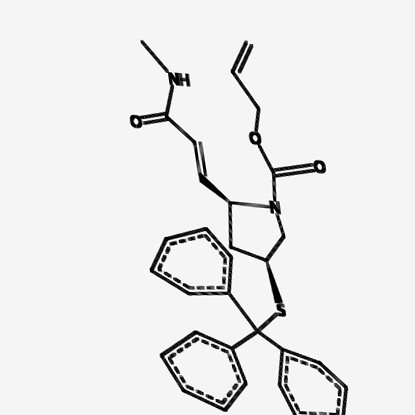 C=CCOC(=O)N1C[C@@H](SC(c2ccccc2)(c2ccccc2)c2ccccc2)C[C@H]1/C=C/C(=O)NC